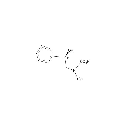 CC(C)(C)N(C[C@H](O)c1ccccc1)C(=O)O